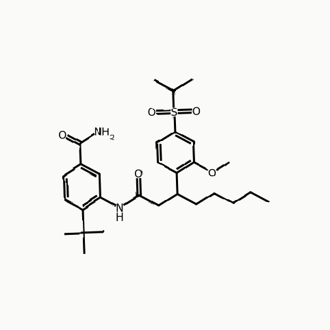 CCCCCC(CC(=O)Nc1cc(C(N)=O)ccc1C(C)(C)C)c1ccc(S(=O)(=O)C(C)C)cc1OC